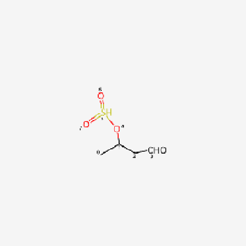 CC(CC=O)O[SH](=O)=O